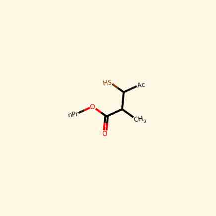 CCCOC(=O)C(C)C(S)C(C)=O